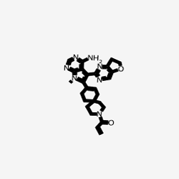 C=CC(=O)N1CCC2(CC=C(c3c(-c4ncc5c(n4)CCO5)c4c(N)ncnc4n3C)CC2)CC1